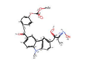 CCCCOC(=O)Oc1ccc(C(=O)c2ccc3c(c2)c2cc(C(=O)/C(CCC)=N/O)ccc2n3CC)cc1